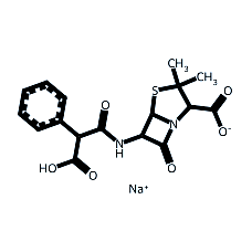 CC1(C)SC2C(NC(=O)C(C(=O)O)c3ccccc3)C(=O)N2C1C(=O)[O-].[Na+]